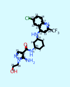 Nc1c(C(=O)N[C@@H]2CCCC(Nc3cc(C(F)(F)F)nc4ccc(Cl)cc34)C2)cnn1CCO